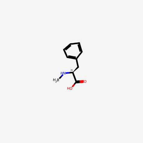 BN[C@@H](Cc1ccccc1)C(=O)O